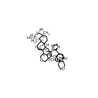 CNC1(CO[C@H]2[C@H](n3ncnc3-c3ccncc3)C[C@@]34COC[C@]2(C)[C@@H]3CC[C@H]2C4=CC[C@@]3(C)[C@H](C(=O)O)[C@@](C)([C@H](C)C(C)C)CC[C@]23C)CCOCC1